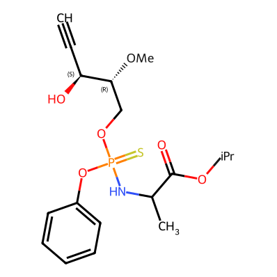 C#C[C@H](O)[C@@H](COP(=S)(NC(C)C(=O)OC(C)C)Oc1ccccc1)OC